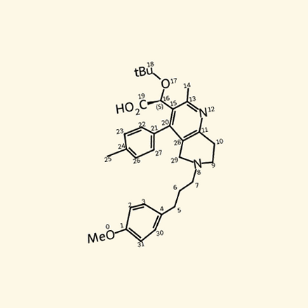 COc1ccc(CCCN2CCc3nc(C)c([C@H](OC(C)(C)C)C(=O)O)c(-c4ccc(C)cc4)c3C2)cc1